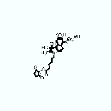 CC1=[N+](CCCCCC(=O)ON2C(=O)CCC2=O)c2ccc3c(SOOO)cc(S(=O)(=O)O)cc3c2C1(C)C